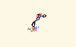 CS(=O)(=O)Nc1cccc(CCN2CCC3(CC2)CN(c2ccccc2)C(=O)C2(CC2)O3)c1